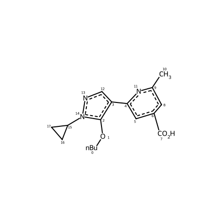 CCCCOc1c(-c2cc(C(=O)O)cc(C)n2)cnn1C1CC1